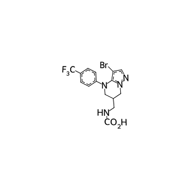 O=C(O)NCC1CN(c2ccc(C(F)(F)F)cc2)c2c(Br)cnn2C1